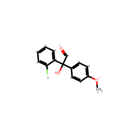 COc1ccc(C(O)(C=O)c2ccccc2F)cc1